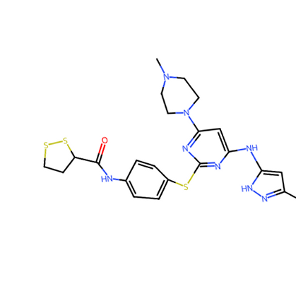 Cc1cc(Nc2cc(N3CCN(C)CC3)nc(Sc3ccc(NC(=O)C4CCSS4)cc3)n2)[nH]n1